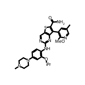 COc1ncc(C)cc1-c1c(C(N)=O)sc2cnc(Nc3ccc(N4CCN(C)CC4)cc3OC(C)C)nc12